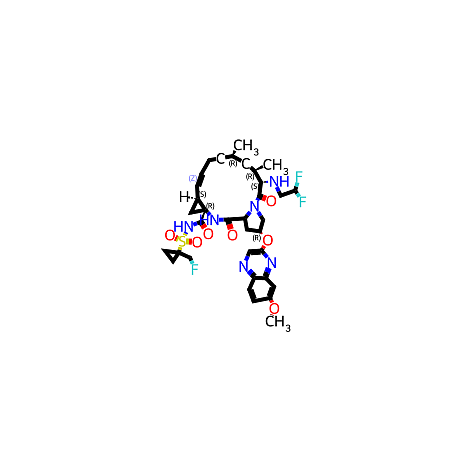 COc1ccc2ncc(O[C@@H]3CC4C(=O)N[C@]5(C(=O)NS(=O)(=O)C6(CF)CC6)C[C@H]5/C=C\CC[C@@H](C)C[C@@H](C)[C@H](NCC(F)F)C(=O)N4C3)nc2c1